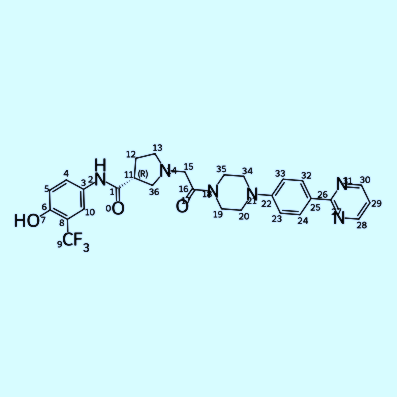 O=C(Nc1ccc(O)c(C(F)(F)F)c1)[C@@H]1CCN(CC(=O)N2CCN(c3ccc(-c4ncccn4)cc3)CC2)C1